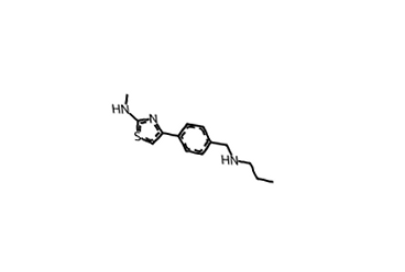 CCCNCc1ccc(-c2csc(NC)n2)cc1